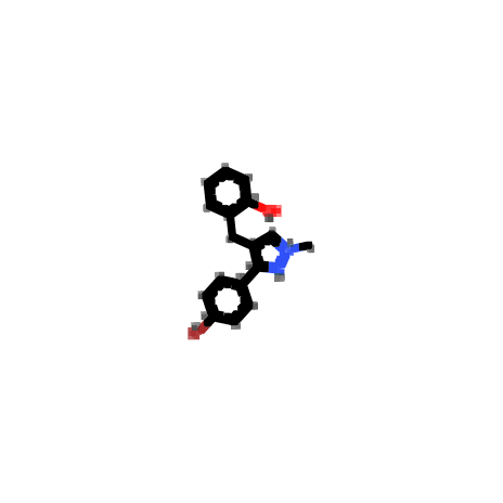 Cn1cc(Cc2ccccc2O)c(-c2ccc(Br)cc2)n1